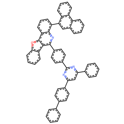 c1ccc(-c2ccc(-c3cc(-c4ccccc4)nc(-c4ccc(-c5nc6c(-c7cc8ccccc8c8ccccc78)cccc6c6oc7ccccc7c56)cc4)n3)cc2)cc1